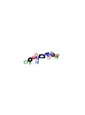 O=C(COc1ccc(Cl)c(F)c1)N[C@H]1CC[C@H](N2CCN(c3ccc(OC(F)(F)F)cn3)C2=O)CC1